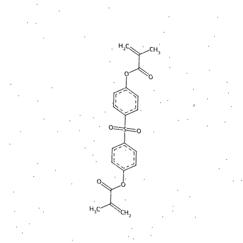 C=C(C)C(=O)Oc1ccc(S(=O)(=O)c2ccc(OC(=O)C(=C)C)cc2)cc1